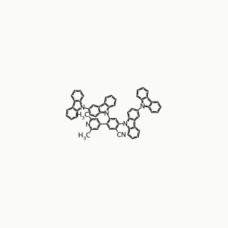 Cc1cc(-c2cc(C#N)c(-n3c4ccccc4c4cc(-n5c6ccccc6c6ccccc65)ccc43)cc2-n2c3ccccc3c3cc(-n4c5ccccc5c5ccccc54)ccc32)cc(C)n1